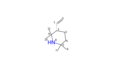 C=C[C@@H]1CCC(C)(C)NC1(C)C